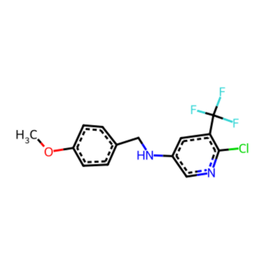 COc1ccc(CNc2cnc(Cl)c(C(F)(F)F)c2)cc1